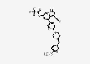 COc1ccc(CN2CCN(c3ccc(-c4cc(OC(=O)C(F)(F)F)cn5ncc(C#N)c45)cn3)CC2)cn1